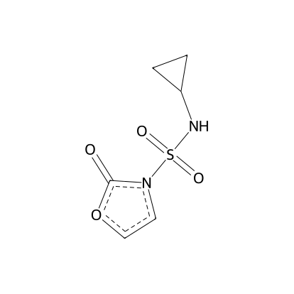 O=c1occn1S(=O)(=O)NC1CC1